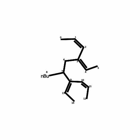 C/C=C\C(=C/C)CC(CCCC)C(/C=C\C)=C/C